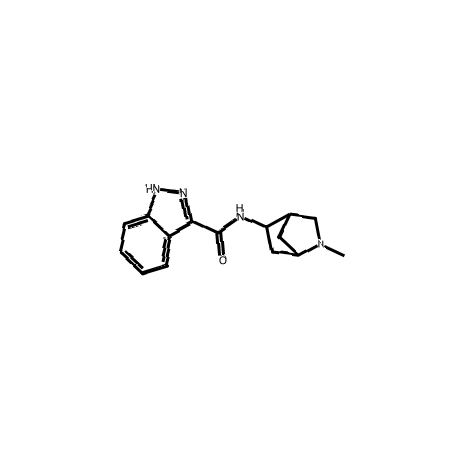 CN1CC2CC1CC2NC(=O)c1n[nH]c2ccccc12